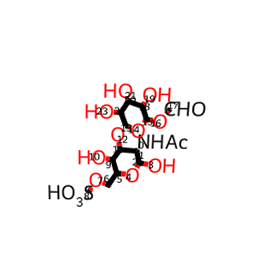 CC(=O)NC1C(O)OC(COS(=O)(=O)O)C(O)C1OC1OC(OC=O)C(O)C(O)C1O